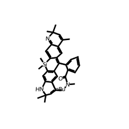 CCCCN(C)C(=O)c1ccccc1C1=c2cc3c(cc2[Si](C)(C)c2cc4c(cc21)C(C)=CC(C)(C)N4)=NC(C)(C)C=C3C